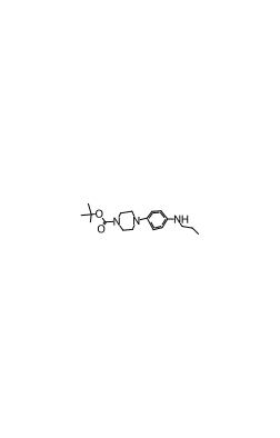 CCCNc1ccc(N2CCN(C(=O)OC(C)(C)C)CC2)cc1